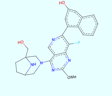 COc1nc(N2CC3CCC(CO)(C2)N3)c2cnc(-c3cc(O)cc4ccccc34)c(F)c2n1